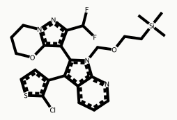 C[Si](C)(C)CCOCn1c(-c2c(C(F)F)nn3c2OCCC3)c(-c2ccsc2Cl)c2cccnc21